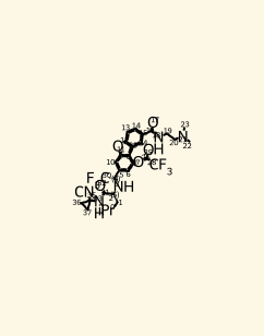 CC(C)C[C@H](N[C@@H](c1ccc2c(c1)oc1ccc(C(=O)NCCN(C)C)c(OC(=O)C(F)(F)F)c12)C(F)(F)F)C(=O)NC1(C#N)CC1